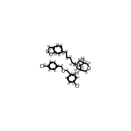 Clc1ccc(COCc2ccc(Cl)cc2)cc1.OC1[C@@H]2COC[C@H]1CN(CCCCc1ccc3c(c1)OOC3)C2